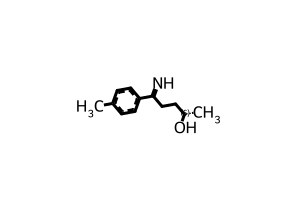 Cc1ccc(C(=N)CC[C@H](C)O)cc1